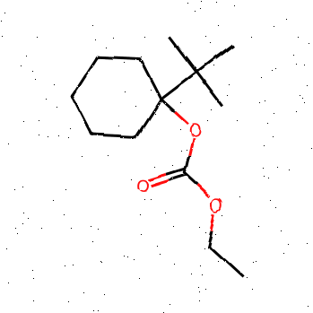 CCOC(=O)OC1(C(C)(C)C)CCCCC1